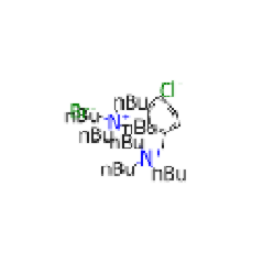 CCCC[N+](CCCC)(CCCC)CCCC.CCCC[N+](CCCC)(CCCC)Cc1ccccc1.[Br-].[Cl-]